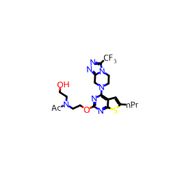 CCCc1cc2c(N3CCn4c(nnc4C(F)(F)F)C3)nc(OCCN(CCO)C(C)=O)nc2s1